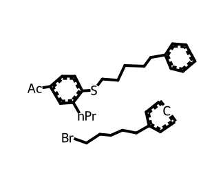 BrCCCCCc1ccccc1.CCCc1cc(C(C)=O)ccc1SCCCCCc1ccccc1